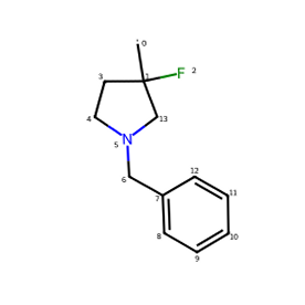 [CH2]C1(F)CCN(Cc2ccccc2)C1